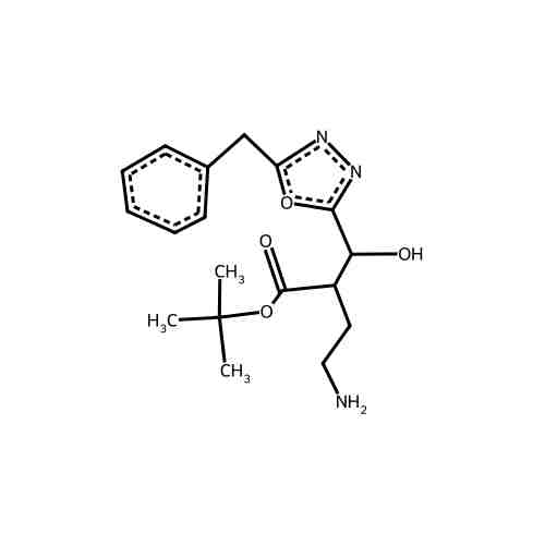 CC(C)(C)OC(=O)C(CCN)C(O)c1nnc(Cc2ccccc2)o1